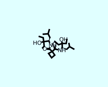 CCC(O)(CC)[C@@H](CC(C)C)NC(=O)C1(C(=O)N[C@H](CC(C)C)C(O)(CC)CC)CCC1